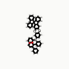 c1ccc(-c2ccccc2-c2ccccc2N(c2ccccc2)c2ccc3c(c2)Oc2cc4c(cc2O3)-c2ccccc2C42c3ccccc3-c3ccccc32)cc1